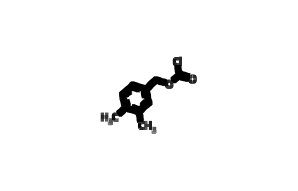 Cc1ccc(COC(=O)Cl)cc1C